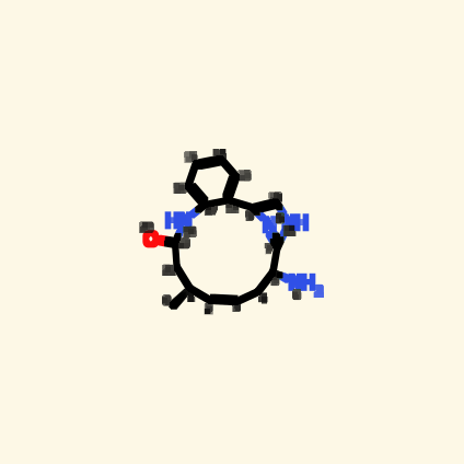 C[C@@H]1/C=C\C[C@H](N)c2nc(c[nH]2)-c2ccccc2NC(=O)C1